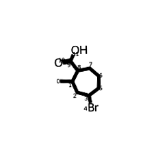 CC1CC(Br)CCCC1C(=O)O